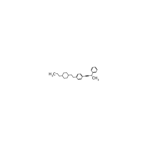 CCCC1CCC(CCc2ccc(C#CC(C)c3ccccc3)cc2)CC1